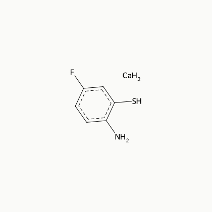 Nc1ccc(F)cc1S.[CaH2]